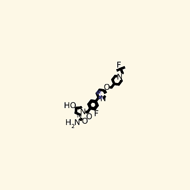 C=C(/C=C\C(=N/C)c1ccc(C(=O)N2C[C@H](O)C[C@H]2C(N)=O)c(F)c1)OCC1CCN(CC(C)(C)F)CC1